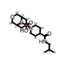 CC(C)CNC(=O)C1CCN(C2CC3COCC(C2)N3C(=O)O)CC1